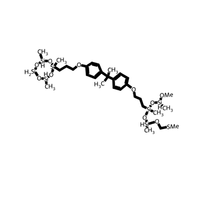 CO[SiH](C)O[Si](C)(CCCOc1ccc(C(C)(C)c2ccc(OCCC[Si]3(C)O[SiH](C)O[SiH2]O[SiH](C)O3)cc2)cc1)O[SiH](C)OCSC